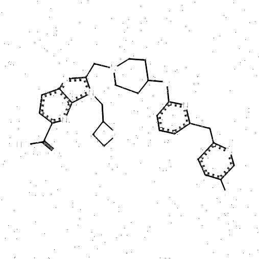 O=C(O)c1ccc2nc(CN3CCC(Oc4cccc(Cc5ccc(Cl)cn5)n4)CC3)n(CC3CCO3)c2n1